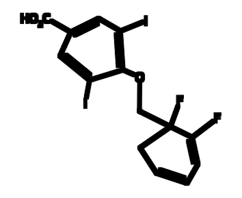 O=C(O)c1cc(I)c(OCC2(F)CC=CC=C2F)c(I)c1